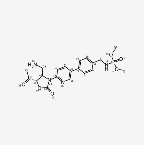 COP(=O)(NCc1ccc(-c2ccc(N3C(=O)O[C@H](C(C)=O)C3CN)nc2)cc1)OC